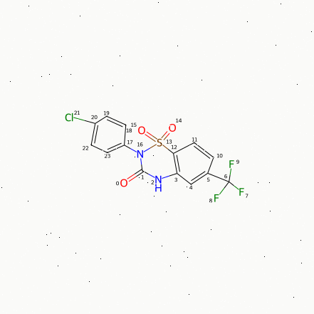 O=C1Nc2cc(C(F)(F)F)ccc2S(=O)(=O)N1c1ccc(Cl)cc1